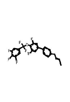 CCCCc1ccc(-c2cc(F)c(OC(F)(F)c3cc(F)c(F)c(F)c3)c(F)c2)cc1